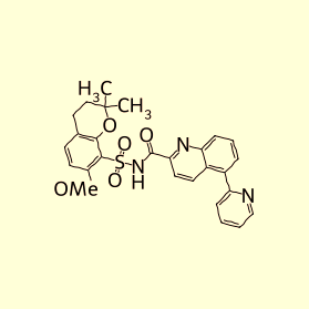 COc1ccc2c(c1S(=O)(=O)NC(=O)c1ccc3c(-c4ccccn4)cccc3n1)OC(C)(C)CC2